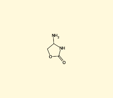 NC1COC(=O)N1